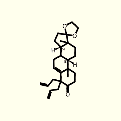 C=CCC1(CC=C)C(=O)CCC2(C)C1=CCC1[C@@H]2CCC2(C)[C@H]1CCC21OCCO1